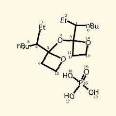 CCCCC(CC)C1(OC2(C(CC)CCCC)CCO2)CCO1.O=P(O)(O)O